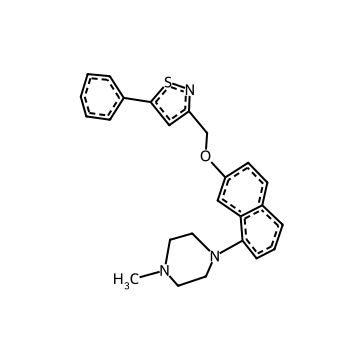 CN1CCN(c2cccc3ccc(OCc4cc(-c5ccccc5)sn4)cc23)CC1